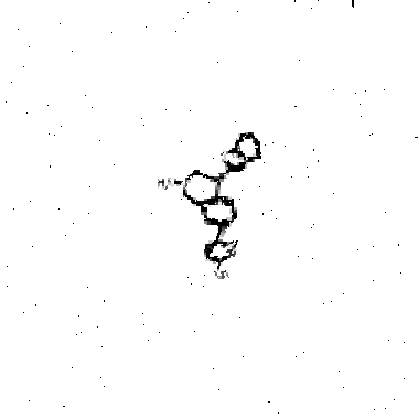 CN1Cc2cc(-c3ccc(C#N)nn3)ccc2C(c2cc3ccccc3s2)C1